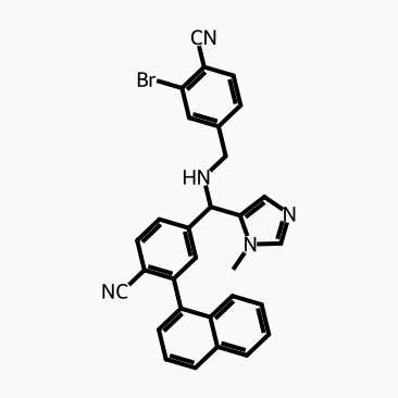 Cn1cncc1C(NCc1ccc(C#N)c(Br)c1)c1ccc(C#N)c(-c2cccc3ccccc23)c1